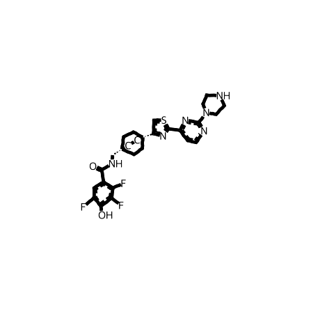 O=C(NC[C@]12CC[C@](c3csc(-c4ccnc(N5CCNCC5)n4)n3)(CC1)CC2)c1cc(F)c(O)c(F)c1F